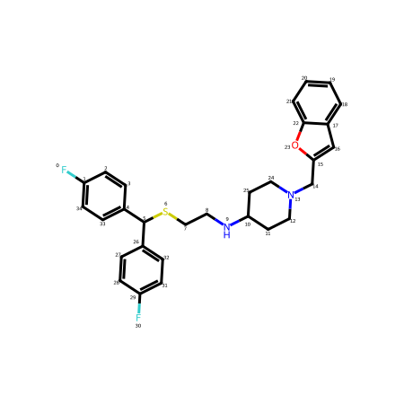 Fc1ccc(C(SCCNC2CCN(Cc3cc4ccccc4o3)CC2)c2ccc(F)cc2)cc1